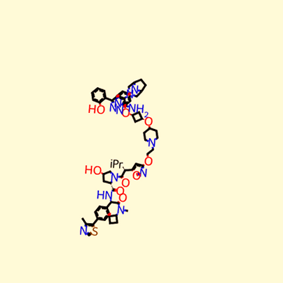 Cc1ncsc1-c1ccc([C@@H](NC(=O)[C@@H]2C[C@@H](O)CN2C(=O)[C@@H](c2cc(OCCN3CCC(O[C@H]4C[C@H](Oc5cc(N6C7CCC6CN(c6cc(-c8ccccc8O)nnc6N)C7)ccn5)C4)CC3)no2)C(C)C)C(=O)N(C)C2CCC2)cc1